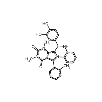 Cc1ccccc1-c1c2c(=O)n(C)c(=O)n(C)c2c2n1-c1ccccc1NC2c1ccc(O)c(O)c1